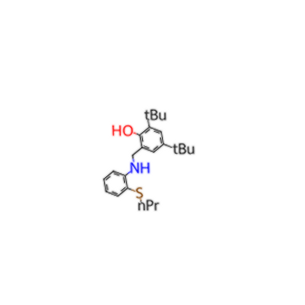 CCCSc1ccccc1NCc1cc(C(C)(C)C)cc(C(C)(C)C)c1O